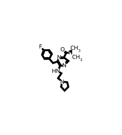 CN(C)C(=O)c1cnc(NCCN2CCCC2)c(Cc2ccc(F)cc2)n1